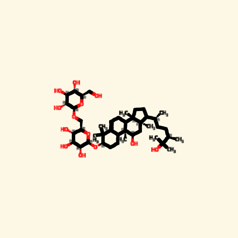 C[C@H](CC[C@@H](C)C(C)(C)O)C1CC[C@@]2(C)C3CC=C4C(CC[C@H](O[C@@H]5O[C@H](CO[C@@H]6O[C@H](CO)[C@@H](O)[C@H](O)[C@H]6O)[C@@H](O)[C@H](O)[C@H]5O)C4(C)C)[C@]3(C)[C@H](O)C[C@]12C